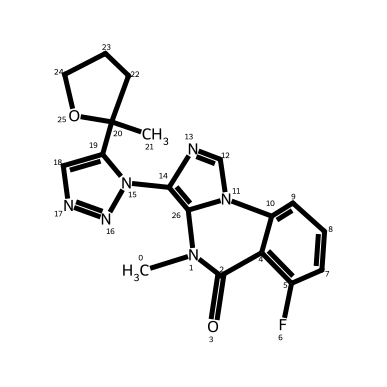 Cn1c(=O)c2c(F)cccc2n2cnc(-n3nncc3C3(C)CCCO3)c12